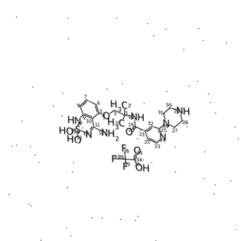 CC(C)(COc1cccc2c1C(N)=NS(O)(O)N2)NC(=O)c1ccnc(N2CCNCC2)c1.O=C(O)C(F)(F)F